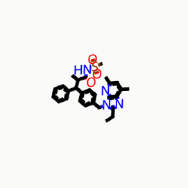 CCc1nc2c(C)cc(C)nc2n1Cc1ccc(C(c2ccccc2)C(C)C(=O)NS(C)(=O)=O)cc1